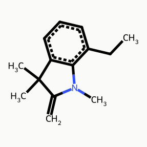 C=C1N(C)c2c(CC)cccc2C1(C)C